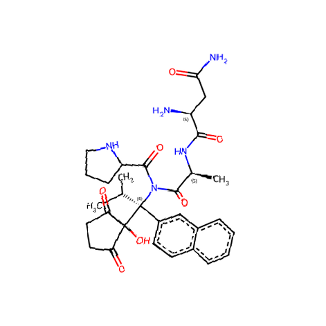 CC(C)[C@@](c1ccc2ccccc2c1)(N(C(=O)C1CCCN1)C(=O)[C@H](C)NC(=O)[C@@H](N)CC(N)=O)C1(O)C(=O)CCC1=O